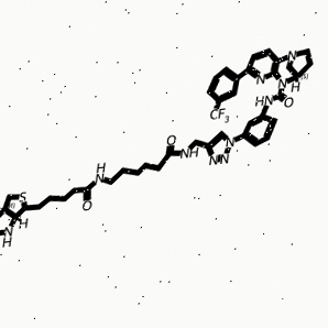 O=C(CCCCC1SC[C@@H]2NC(=O)N[C@H]12)NCCCCCC(=O)NCc1cn(-c2cccc(NC(=O)N3c4nc(-c5cccc(C(F)(F)F)c5)ccc4N4CC[C@H]3C4)c2)nn1